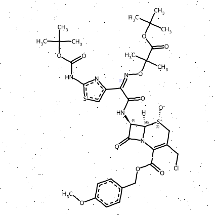 COc1ccc(COC(=O)C2=C(CCl)C[S@@+]([O-])[C@@H]3[C@H](NC(=O)/C(=N\OC(C)(C)C(=O)OC(C)(C)C)c4csc(NC(=O)OC(C)(C)C)n4)C(=O)N23)cc1